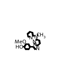 COc1cc(-c2cnc3ccc(N(C)c4ccccn4)nn23)ccc1O